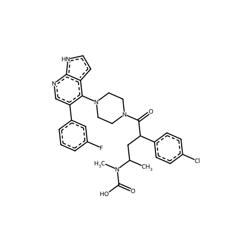 CC(CC(C(=O)N1CCN(c2c(-c3cccc(F)c3)cnc3[nH]ccc23)CC1)c1ccc(Cl)cc1)N(C)C(=O)O